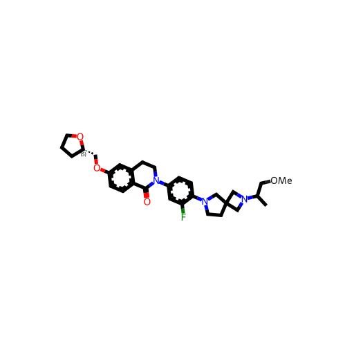 COCC(C)N1CC2(CCN(c3ccc(N4CCc5cc(OC[C@@H]6CCCO6)ccc5C4=O)cc3F)C2)C1